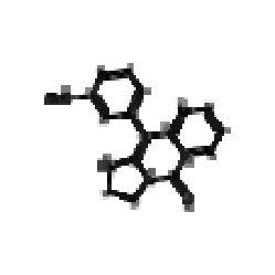 COc1cccc(-c2c3n(c(=O)c4cccnc24)CCN3)c1